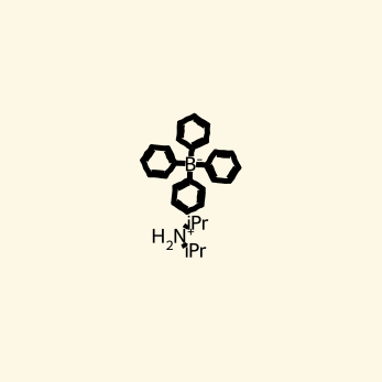 CC(C)[NH2+]C(C)C.c1ccc([B-](c2ccccc2)(c2ccccc2)c2ccccc2)cc1